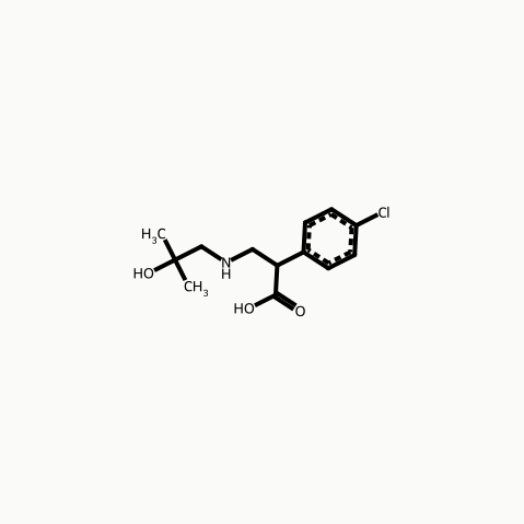 CC(C)(O)CNCC(C(=O)O)c1ccc(Cl)cc1